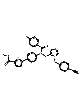 COC(=O)c1ccc(-c2ccc(N(Cc3cncn3Cc3ccc(C#N)cc3)C(=O)c3ccc(F)cc3)cc2)o1